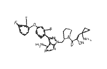 N#CC(=CC1(N)CC1)C(=O)N1CCC[C@@H]1Cn1nc(-c2ccc(Oc3cccc(F)c3F)cc2F)c2c(N)ncnc21